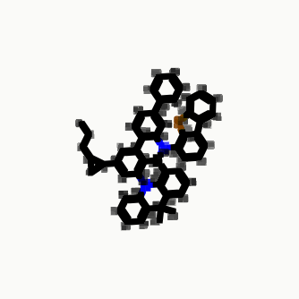 CCCC1CC1c1cc2c3c(c1)N1c4ccccc4C(C)(C)c4cccc(c41)B3N(c1cccc3c1sc1ccccc13)c1cc(-c3ccccc3)ccc1-2